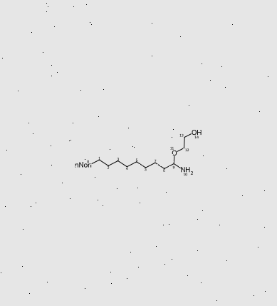 CCCCCCCCCCCCCCCCCC(N)OCCO